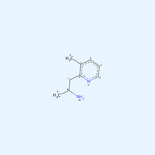 Cc1cccnc1CC(C)N